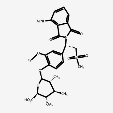 CCOc1cc([C@@H](CS(C)(=O)=O)N2C(=O)c3cccc(NC(C)=O)c3C2=O)ccc1O[C@@H]1O[C@H](C(=O)O)[C@@H](OC(C)=O)[C@H](C)[C@H]1C